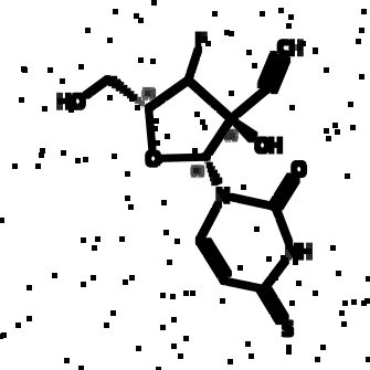 C#C[C@@]1(O)C(F)[C@@H](CO)O[C@H]1n1ccc(=S)[nH]c1=O